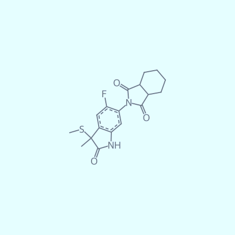 CSC1(C)C(=O)Nc2cc(N3C(=O)C4CCCCC4C3=O)c(F)cc21